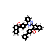 c1ccc(-c2ccc3c(c2)oc2c4ccccc4cc(-c4nc(-c5ccc6c(c5)oc5ccc7ccccc7c56)c5ccccc5n4)c32)cc1